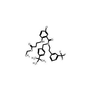 CCOC(=O)CCNc1ccc(Cl)cc1C(=O)N(CCc1cccc(C(F)(F)F)c1)Cc1ccc(C(C)(C)C)cc1